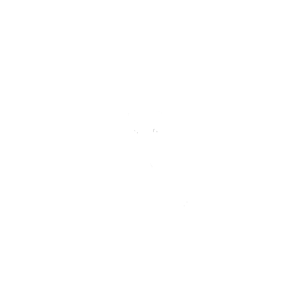 CC1(C)CC(=O)N2C(CO)C3Cc4c(F)cccc4C3N21